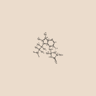 [2H]c1c(C([2H])([2H])C([2H])([2H])N(C)C)c2cc(C[C@@H]3N([2H])C(=O)OC3([2H])[2H])ccc2n1[2H]